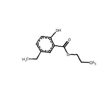 CCCOC(=O)c1cc(CC)ccc1O